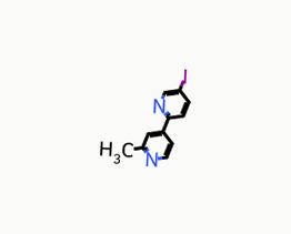 Cc1cc(-c2ccc(I)cn2)ccn1